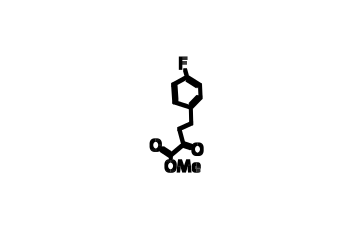 COC(=O)C(=O)CCc1ccc(F)cc1